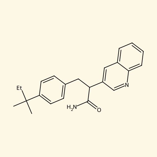 CCC(C)(C)c1ccc(CC(C(N)=O)c2cnc3ccccc3c2)cc1